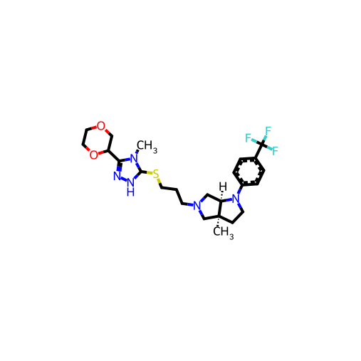 CN1C(C2COCCO2)=NNC1SCCCN1C[C@H]2N(c3ccc(C(F)(F)F)cc3)CC[C@@]2(C)C1